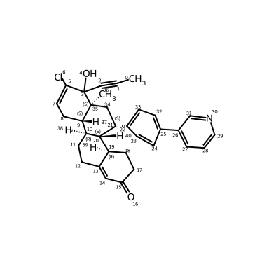 CC#CC1(O)C(Cl)=CC[C@H]2[C@@H]3CCC4=CC(=O)CC[C@@H]4[C@H]3[C@@H](c3ccc(-c4cccnc4)cc3)C[C@@]21C